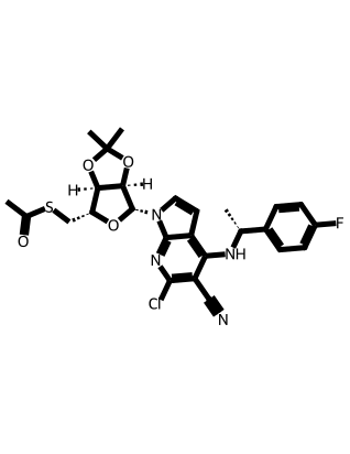 CC(=O)SC[C@H]1O[C@@H](n2ccc3c(N[C@H](C)c4ccc(F)cc4)c(C#N)c(Cl)nc32)[C@@H]2OC(C)(C)O[C@@H]21